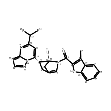 Cc1c(C(=O)N2C=C3C[C@H](c4cc(C(F)F)nc5ncnn45)[C@@H]2C3)oc2ccccc12